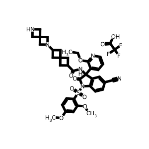 CCOc1ncccc1C1(NC(=O)C2CC3(C2)CC(N2CC4(CNC4)C2)C3)C(=O)N(S(=O)(=O)c2ccc(OC)cc2OC)c2ccc(C#N)cc21.O=C(O)C(F)(F)F